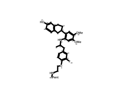 CCCCCNCCOc1ccc(CC(C)Nc2cc(OC)c(OC)cc2C2CCc3cc(O)ccc3C2)cc1F